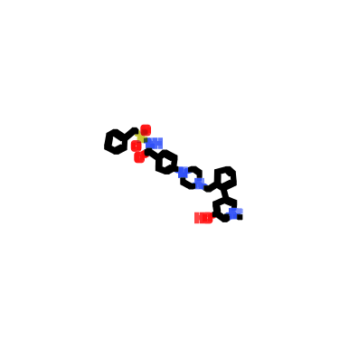 C[n+]1cc(O)cc(-c2ccccc2CN2CCN(c3ccc(C(=O)NS(=O)(=O)Cc4ccccc4)cc3)CC2)c1